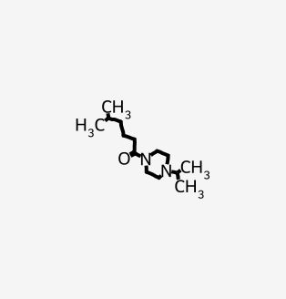 CC(C)CCCC(=O)N1CCN(C(C)C)CC1